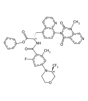 Cc1cc(N2CCOC[C@@H]2C(F)(F)F)cc(F)c1C(=O)N[C@@H](Cc1ccc(-n2c(=O)c3ccncc3n(C)c2=O)c2ncccc12)C(=O)Oc1ccccc1